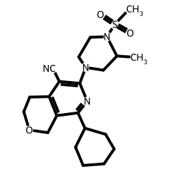 CC1CN(c2nc(C3CCCCC3)c3c(c2C#N)CCOC3)CCN1S(C)(=O)=O